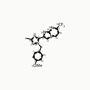 COc1ccc(Cn2nc(C)nc2-c2cn3ccc(C(F)(F)F)nc3n2)cc1